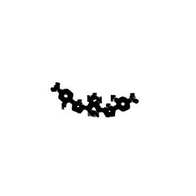 CN(C)c1ccc(-c2ccc(-c3nnc(-c4ccc(-c5ccc(N(C)C)cc5F)s4)c4nsnc34)s2)c(F)c1